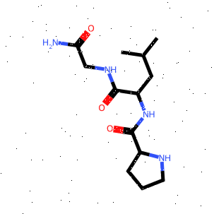 CC(C)CC(NC(=O)C1CCCN1)C(=O)NCC(N)=O